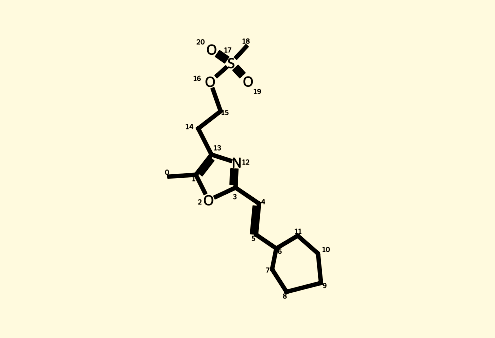 Cc1oc(C=CC2CCCCC2)nc1CCOS(C)(=O)=O